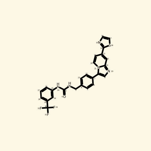 O=C(NCc1ccc(-c2cnc3cc(-c4nccs4)ccn23)cc1)Nc1cccc(C(F)(F)F)c1